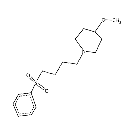 COC1CCN(CCCCS(=O)(=O)c2ccccc2)CC1